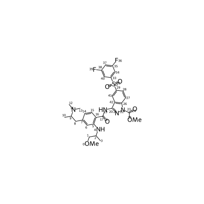 COCC(C)Nc1cc(CC(C)N(C)C)ccc1C(=O)Nc1nn(C(=O)OC)c2ccc(S(=O)(=O)c3cc(F)cc(F)c3)cc12